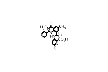 Cc1cc(C(C)Nc2ccc(Cl)nc2C(=O)O)c2nc(-c3ccncc3)n(C)c(=O)c2c1